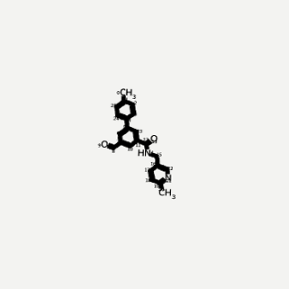 Cc1ccc(-c2cc(C=O)cc(C(=O)NCc3ccc(C)nc3)c2)cc1